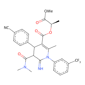 COC(=O)[C@@H](C)OC(=O)C1=C(C)N(c2cccc(C(F)(F)F)c2)C(=N)C(C(=O)N(C)C)C1c1ccc(C#N)cc1